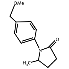 COCc1ccc(N2C(=O)CCC2C)cc1